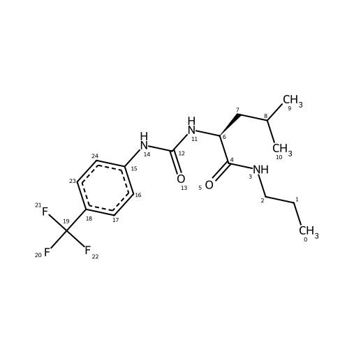 CCCNC(=O)[C@H](CC(C)C)NC(=O)Nc1ccc(C(F)(F)F)cc1